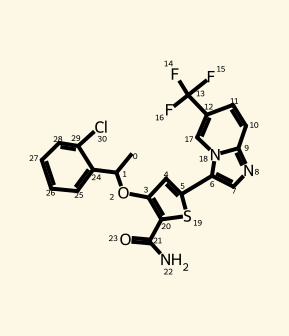 CC(Oc1cc(-c2cnc3ccc(C(F)(F)F)cn23)sc1C(N)=O)c1ccccc1Cl